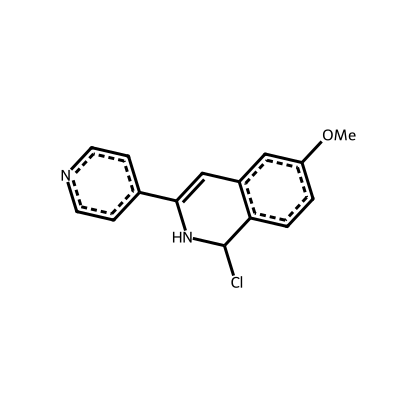 COc1ccc2c(c1)C=C(c1ccncc1)NC2Cl